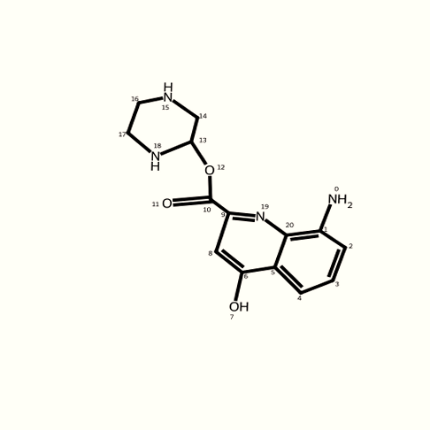 Nc1cccc2c(O)cc(C(=O)OC3CNCCN3)nc12